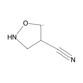 N#CC1[CH]ONC1